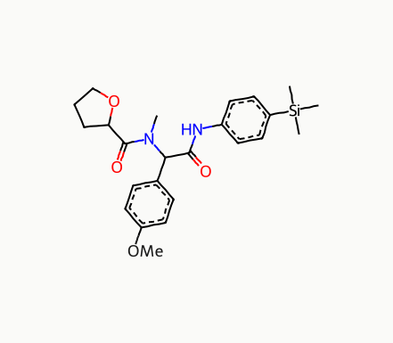 COc1ccc(C(C(=O)Nc2ccc([Si](C)(C)C)cc2)N(C)C(=O)C2CCCO2)cc1